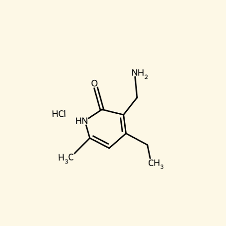 CCc1cc(C)[nH]c(=O)c1CN.Cl